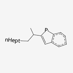 CCCCCCCCC(C)C1=Cc2ccccc2[P]1